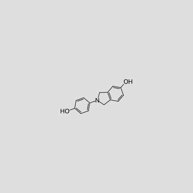 Oc1ccc(N2Cc3ccc(O)cc3C2)cc1